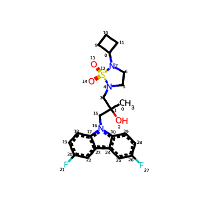 CC(O)(CN1CCN(C2CCC2)S1(=O)=O)Cn1c2ccc(F)cc2c2cc(F)ccc21